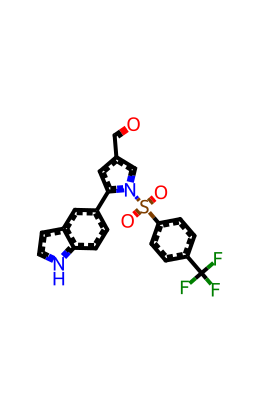 O=Cc1cc(-c2ccc3[nH]ccc3c2)n(S(=O)(=O)c2ccc(C(F)(F)F)cc2)c1